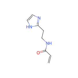 C=CC(=O)NCCc1ncc[nH]1